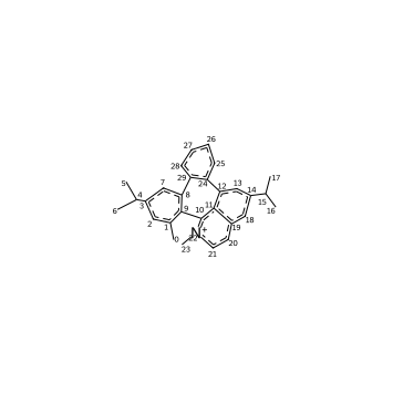 Cc1cc(C(C)C)cc2c1-c1c3c(cc(C(C)C)cc3cc[n+]1C)-c1ccccc1-2